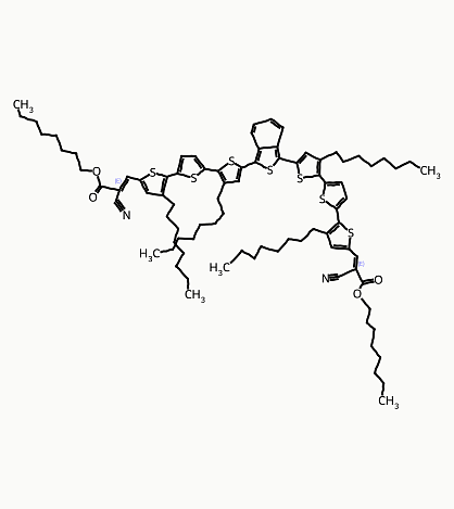 CCCCCCCCOC(=O)/C(C#N)=C/c1cc(CCCCCCCC)c(-c2ccc(-c3sc(-c4sc(-c5cc(CCCCCCCC)c(-c6ccc(-c7sc(/C=C(\C#N)C(=O)OCCCCCCCC)cc7CCCCCCCC)s6)s5)c5ccccc45)cc3CCCCCCCC)s2)s1